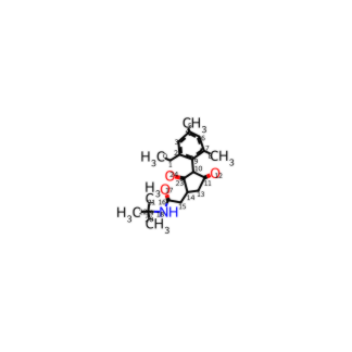 CCc1cc(C)cc(C)c1C1C(=O)CC(CC(=O)NC(C)(C)C)C1=O